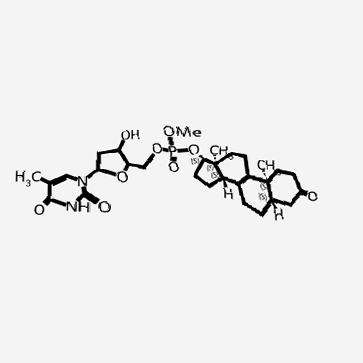 COP(=O)(OCC1OC(n2cc(C)c(=O)[nH]c2=O)CC1O)O[C@H]1CC[C@H]2C3CC[C@H]4CC(=O)CC[C@]4(C)C3CC[C@]12C